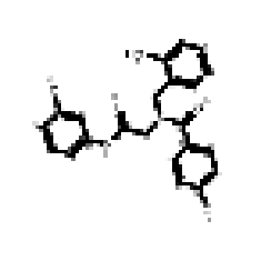 Cc1ccccc1CN(CC(=O)Nc1cccc(Cl)c1)C(=O)c1ccc(Cl)cc1